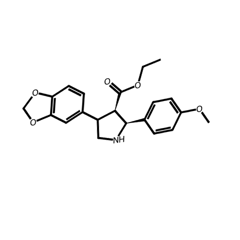 CCOC(=O)[C@@H]1C(c2ccc3c(c2)OCO3)CN[C@@H]1c1ccc(OC)cc1